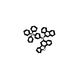 c1ccc([Si](c2ccccc2)(c2ccccc2)c2ccc(N(c3cc4ccccc4c4ccccc34)c3cc4c5ccccc5oc4c4ccccc34)cc2)cc1